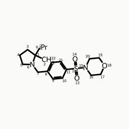 CC(C)C1(C)CCCN1Cc1ccc(S(=O)(=O)N2CCOCC2)cc1